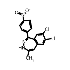 CC1=Cc2cc(Cl)c(Cl)cc2C(c2ccc([N+](=O)[O-])cc2)=NN1